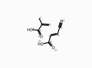 C=C(C)C(=O)O.N#CC=CC(=O)O